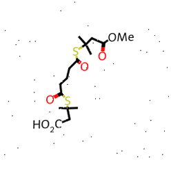 COC(=O)CC(C)(C)SC(=O)CCCC(=O)SC(C)(C)CC(=O)O